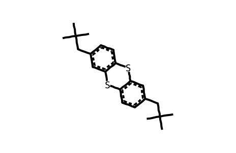 CC(C)(C)Cc1ccc2c(c1)Sc1ccc(CC(C)(C)C)cc1S2